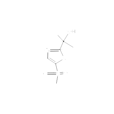 CC(C)(O)c1ncc(S(C)(=O)=O)s1